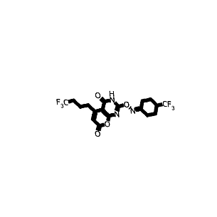 O=c1cc(CCCC(F)(F)F)c2c(=O)[nH]c(ON=C3CCC(C(F)(F)F)CC3)nc2o1